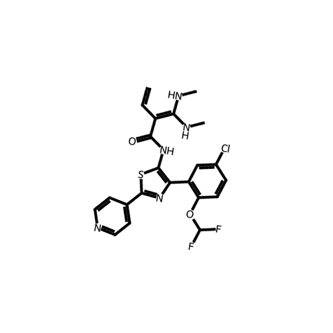 C=CC(C(=O)Nc1sc(-c2ccncc2)nc1-c1cc(Cl)ccc1OC(F)F)=C(NC)NC